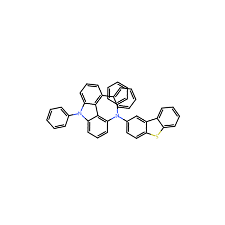 c1ccc(-c2cccc3c2c2c(N(c4ccccc4)c4ccc5sc6ccccc6c5c4)cccc2n3-c2ccccc2)cc1